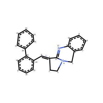 C(=C1/CCN2Cc3ccccc3N=C12)/c1ccccc1-c1ccccc1